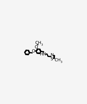 CCOc1cc(CNCCc2ncc(C)s2)ccc1OCc1ccccc1